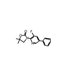 CC1(C)CN(c2ncc(-c3ccccc3)cc2F)C(=O)O1